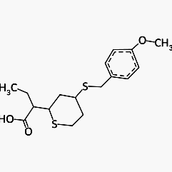 CCC(C(=O)O)C1CC(SCc2ccc(OC)cc2)CCS1